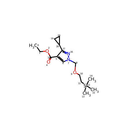 CCOC(=O)c1cn(COCC[Si](C)(C)C)nc1C1CC1